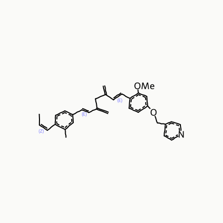 C=C(/C=C/c1ccc(/C=C\C)c(C)c1)CC(=C)/C=C/c1ccc(OCc2ccncc2)cc1OC